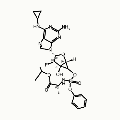 CC(C)OC(=O)[C@@H](C)NP(=O)(Oc1ccccc1)OC1[C@H]2O[C@@H](n3cnc4c(NC5CC5)nc(N)nc43)[C@H](F)[C@@]12O